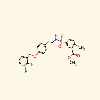 COC(=O)c1cc(S(=O)(=O)NCCc2ccc(OCc3cccc(F)c3F)cc2)ccc1C